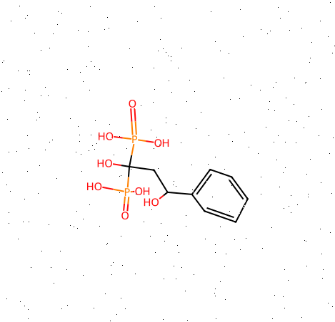 O=P(O)(O)C(O)(CC(O)c1ccccc1)P(=O)(O)O